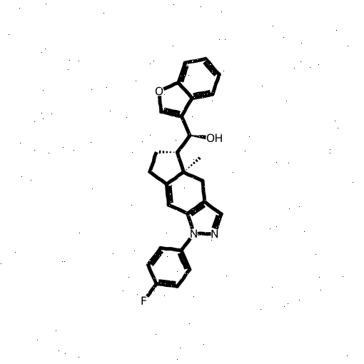 C[C@]12Cc3cnn(-c4ccc(F)cc4)c3C=C1CC[C@@H]2[C@H](O)c1coc2ccccc12